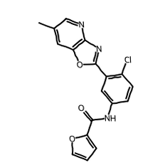 Cc1cnc2nc(-c3cc(NC(=O)c4ccco4)ccc3Cl)oc2c1